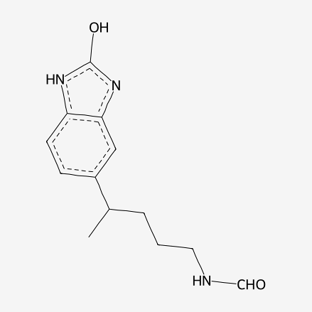 CC(CCCNC=O)c1ccc2[nH]c(O)nc2c1